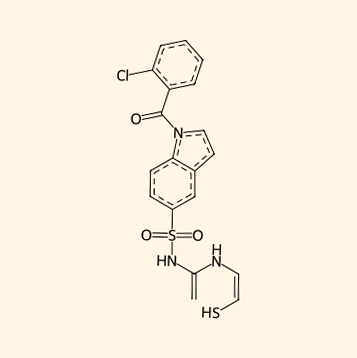 C=C(N/C=C\S)NS(=O)(=O)c1ccc2c(ccn2C(=O)c2ccccc2Cl)c1